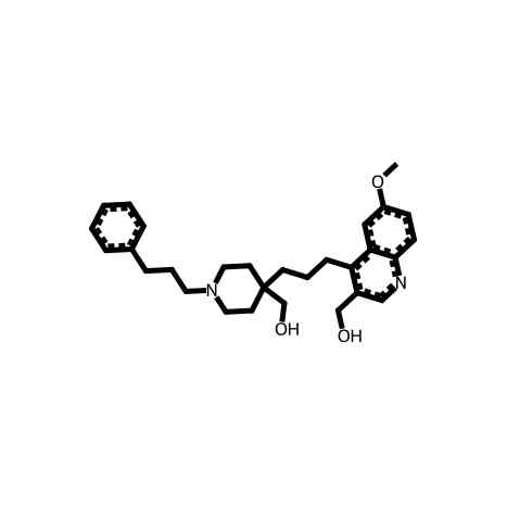 COc1ccc2ncc(CO)c(CCCC3(CO)CCN(CCCc4ccccc4)CC3)c2c1